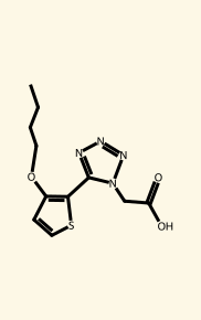 CCCCOc1ccsc1-c1nnnn1CC(=O)O